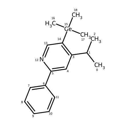 CC(C)c1cc(-c2ccccc2)nc[c]1[Ge]([CH3])([CH3])[CH3]